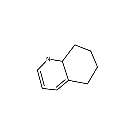 C1=C[N]C2CCCCC2=C1